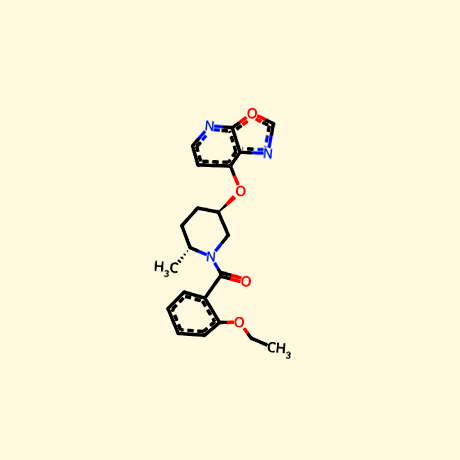 CCOc1ccccc1C(=O)N1C[C@H](Oc2ccnc3ocnc23)CC[C@H]1C